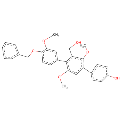 COc1cc(-c2c(OC)cc(-c3ccc(O)cc3)c(OC)c2CO)ccc1OCc1ccccc1